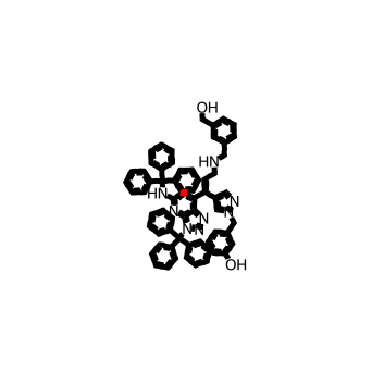 OCc1cccc(CNC/C=C(\c2cnn(Cc3cccc(O)c3)c2)c2cc(NC(c3ccccc3)(c3ccccc3)c3ccccc3)nc3c2nnn3C(c2ccccc2)(c2ccccc2)c2ccccc2)c1